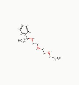 O=C(O)COCCOCCOC(C(=O)O)c1ccccc1